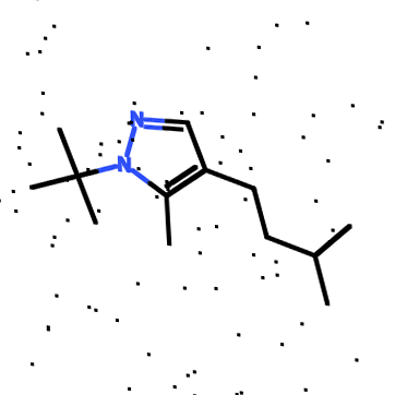 Cc1c(CCC(C)C)cnn1C(C)(C)C